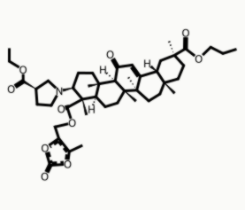 CCCOC(=O)[C@@]1(C)CC[C@]2(C)CC[C@]3(C)C(=CC(=O)[C@@H]4[C@@]5(C)CC[C@H](N6CC[C@@H](C(=O)OCC)C6)[C@@](C)(C(=O)OCc6oc(=O)oc6C)[C@@H]5CC[C@]43C)[C@@H]2C1